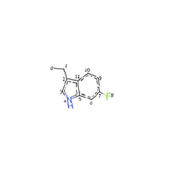 CCc1c[nH]c2cc(F)ccc12